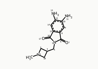 CN1CC(CN2C(=O)c3cc(N)c(N)cc3C2=O)C1